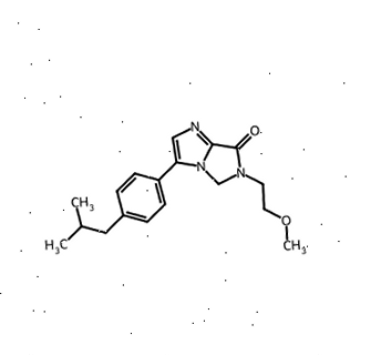 COCCN1Cn2c(-c3ccc(CC(C)C)cc3)cnc2C1=O